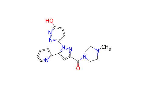 CN1CCN(C(=O)c2cc(-c3ccccn3)n(-c3ccc(O)nn3)n2)CC1